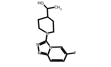 CC(O)C1CCN(c2nnc3ccc(F)cn23)CC1